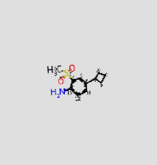 CS(=O)(=O)c1cc(C2CCC2)ccc1N